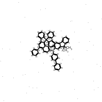 CC1(C)c2ccccc2-c2ccc(N(c3ccc(-c4ccccc4)cc3)c3ccc4c(-c5ccccc5)cc5c(c4c3)C(c3ccccc3)(c3ccccc3)c3ccccc3-5)cc21